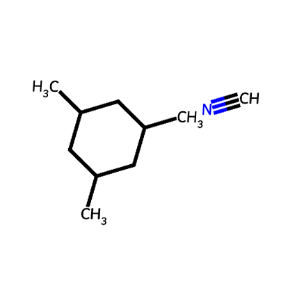 C#N.CC1CC(C)CC(C)C1